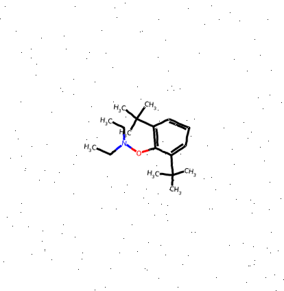 CCN(CC)Oc1c(C(C)(C)C)cccc1C(C)(C)C